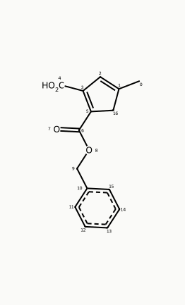 CC1=CC(C(=O)O)=C(C(=O)OCc2ccccc2)C1